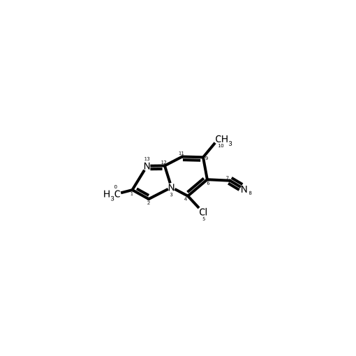 Cc1cn2c(Cl)c(C#N)c(C)cc2n1